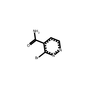 NC(=O)c1ccnnc1Br